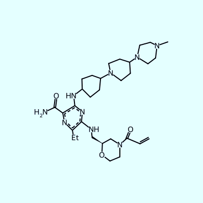 C=CC(=O)N1CCO[C@@H](CNc2nc(NC3CCC(N4CCC(N5CCN(C)CC5)CC4)CC3)c(C(N)=O)nc2CC)C1